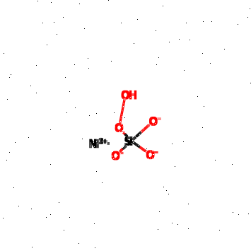 [Ni+3].[O-][Si]([O-])([O-])OO